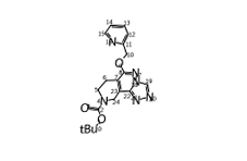 CC(C)(C)OC(=O)N1CCc2c(OCc3ccccn3)nn3cnnc3c2C1